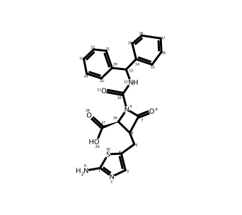 Nc1ncc(CC2C(=O)N(C(=O)NC(c3ccccc3)c3ccccc3)[C@@H]2C(=O)O)s1